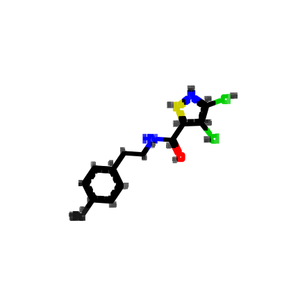 CC(C)(C)c1ccc(CCNC(=O)c2snc(Cl)c2Cl)cc1